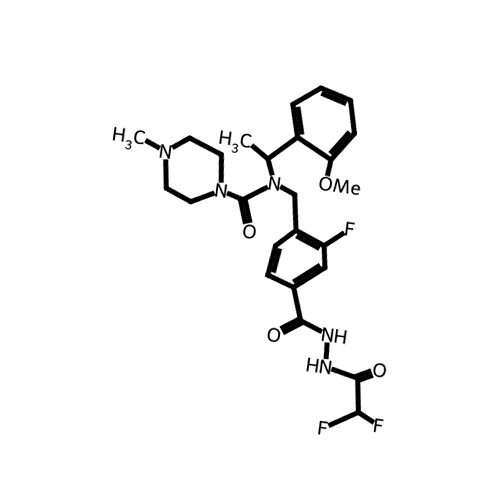 COc1ccccc1C(C)N(Cc1ccc(C(=O)NNC(=O)C(F)F)cc1F)C(=O)N1CCN(C)CC1